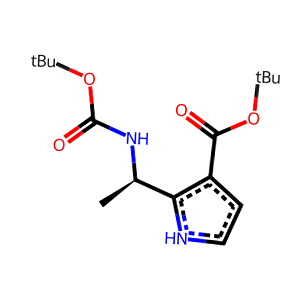 C[C@@H](NC(=O)OC(C)(C)C)c1[nH]ccc1C(=O)OC(C)(C)C